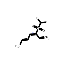 C=C/C(=C\C=CC)S(=O)(=O)C(F)F